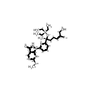 CC[Si](CC)(CC)O[C@](C)(CC/C=C(/F)CO)c1cccc(-n2[nH]c(=O)c3cnc(SC)nc32)n1